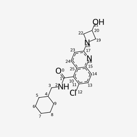 O=C(NCC1CCCCC1)c1c(Cl)ccc2nc(N3CC(O)C3)ccc12